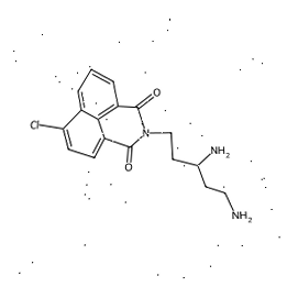 NCCC(N)CCN1C(=O)c2cccc3c(Cl)ccc(c23)C1=O